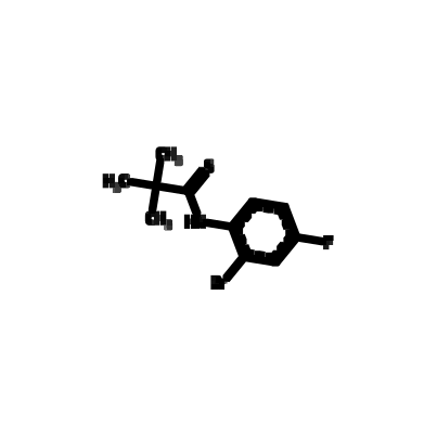 CC(C)(C)C(=S)Nc1ccc(F)cc1Br